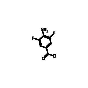 Nc1c(F)cc(C(=O)Cl)cc1F